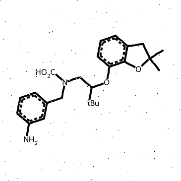 CC1(C)Cc2cccc(OC(CN(Cc3cccc(N)c3)C(=O)O)C(C)(C)C)c2O1